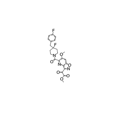 COC(=O)C(=O)c1noc2cc(OC)c(C(=O)N3CCC(F)(Cc4ccc(F)cc4)CC3)nc12